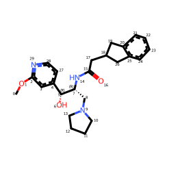 COc1cc([C@@H](O)[C@@H](CN2CCCC2)NC(=O)CC2Cc3ccccc3C2)ccn1